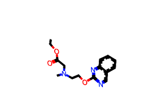 CCOC(=O)CN(C)CCOc1ncc2ccccc2n1